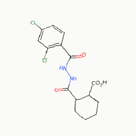 O=C(NNC(=O)C1CCCCC1C(=O)O)c1ccc(Cl)cc1Cl